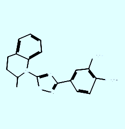 COc1ccc(-c2noc(N3c4ccccc4CCC3C)n2)cc1OC